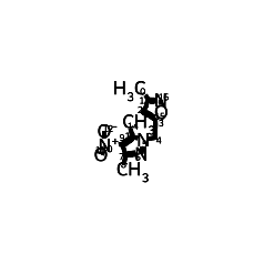 Cc1cc(Cn2nc(C)c([N+](=O)[O-])c2C)on1